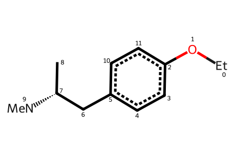 CCOc1ccc(C[C@@H](C)NC)cc1